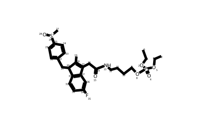 CCOP(=O)(OCC)OCCCCNC(=O)CC1=C(C)C(Cc2ccc([S+](C)[O-])cc2)c2ccc(F)cc21